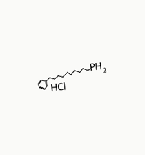 Cl.PCCCCCCCCCCc1ccccc1